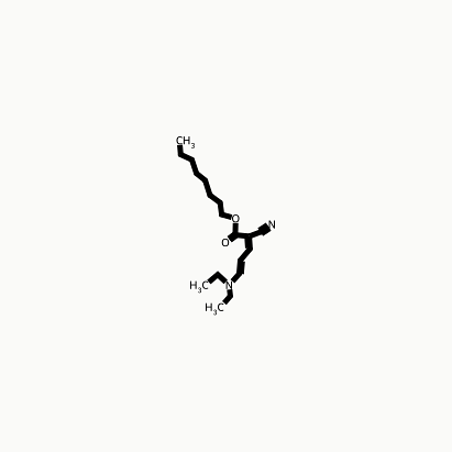 CCCCCCCCOC(=O)/C(C#N)=C\C=C\N(CC)CC